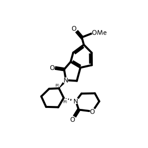 COC(=O)c1ccc2c(c1)C(=O)N([C@@H]1CCCC[C@H]1N1CCCOC1=O)C2